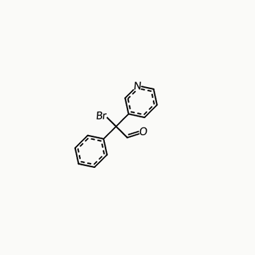 O=CC(Br)(c1ccccc1)c1cccnc1